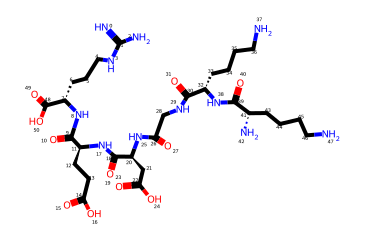 N=C(N)NCCC[C@H](NC(=O)[C@H](CCC(=O)O)NC(=O)[C@H](CC(=O)O)NC(=O)CNC(=O)[C@H](CCCCN)NC(=O)[C@@H](N)CCCCN)C(=O)O